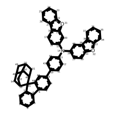 c1ccc2c(c1)-c1ccc(-c3ccc(N(c4ccc5c(c4)oc4ccccc45)c4ccc5oc6ccccc6c5c4)cc3)cc1C21C2CC3CC(C2)CC1C3